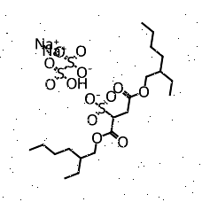 CCCCC(CC)COC(=O)CC(C(=O)OCC(CC)CCCC)S(=O)(=O)[O-].O=S(=O)([O-])S(=O)(=O)O.[Na+].[Na+]